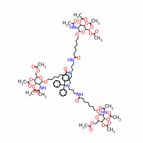 CC(=O)NC1C(OC(C)=O)[C@@H](OC(C)=O)C(COC(C)=O)O[C@H]1OCCCCCCC(=O)NCCCN(CCCN(CCCNC(=O)CCCCCCO[C@@H]1OC(COC(C)=O)[C@H](OC(C)=O)C(OC(C)=O)C1NC(C)=O)C(c1ccccc1)(c1ccccc1)c1ccccc1)C(=O)CCCCCCO[C@@H]1OC(COC(C)=O)[C@H](OC(C)=O)C(OC(C)=O)C1NC(C)=O